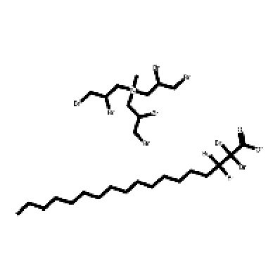 CCCCCCCCCCCCCCCC(Br)(Br)C(Br)(Br)C(=O)[O-].C[N+](CC(Br)CBr)(CC(Br)CBr)CC(Br)CBr